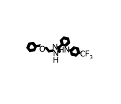 FC(F)(F)c1ccc(Nc2ccccc2-c2c[nH]c(CCOCc3ccccc3)n2)cc1